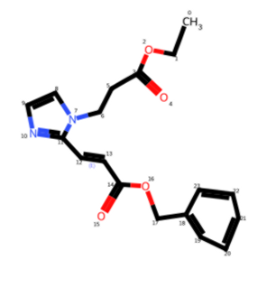 CCOC(=O)CCn1ccnc1/C=C/C(=O)OCc1ccccc1